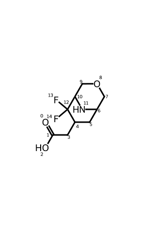 O=C(O)CC1CC2COCC(N2)C1(F)F